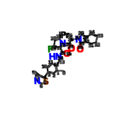 Cc1cc(-c2scnc2C)ccc1CNC(=O)C1[C@@H](F)CCN1C(=O)C(C(C)C)N1CC2=C(CCC=C2)C1=O